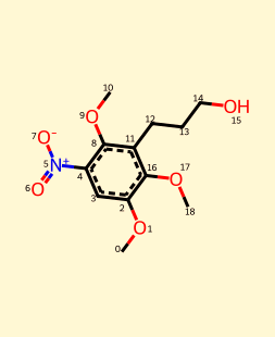 COc1cc([N+](=O)[O-])c(OC)c(CCCO)c1OC